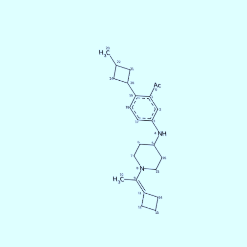 CC(=O)c1cc(NC2CCN(C(C)=C3CCC3)CC2)ccc1C1CC(C)C1